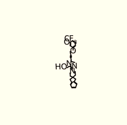 OCc1nc(C#CCOc2cccc(OC(F)(F)F)c2)cnc1N1CCC2(CC1)Cc1ccccc1C2